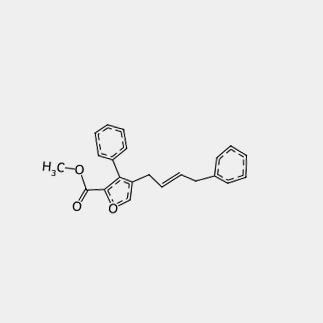 COC(=O)c1occ(CC=CCc2ccccc2)c1-c1ccccc1